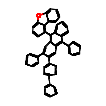 c1ccc(-c2ccc(-c3cc4c(-c5ccccc5)c5ccccc5c(-c5cccc6oc7ccccc7c56)c4cc3-c3ccccc3)cc2)cc1